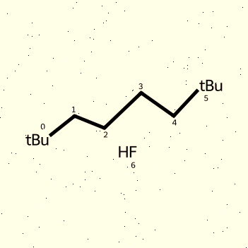 CC(C)(C)CCCCC(C)(C)C.F